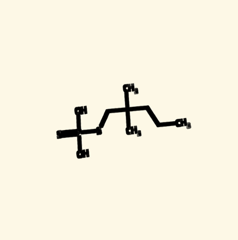 CCCC(C)(C)CSP(O)(O)=S